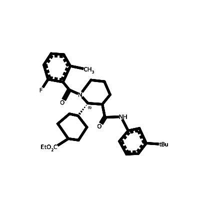 CCOC(=O)C1CCC([C@H]2C(C(=O)Nc3cccc(C(C)(C)C)c3)CCCN2C(=O)c2c(C)cccc2F)CC1